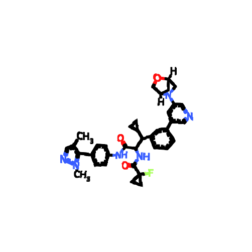 Cc1cnn(C)c1-c1ccc(NC(=O)C(NC(=O)C2(F)CC2)C(c2cccc(-c3cncc(N4C[C@@H]5C[C@H]4CO5)c3)c2)C2CC2)cc1